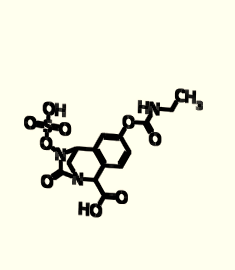 CCNC(=O)Oc1ccc2c(c1)C1CN(C(=O)N1OS(=O)(=O)O)C2C(=O)O